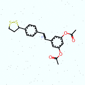 CC(=O)Oc1cc(/C=C/c2ccc(C3CCSS3)cc2)cc(OC(C)=O)c1